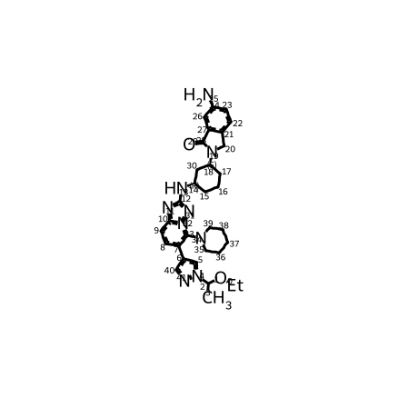 CCOC(C)n1cc(-c2ccc3nc(N[C@@H]4CCC[C@H](N5Cc6ccc(N)cc6C5=O)C4)nn3c2N2CCCCC2)cn1